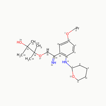 CC(C)Oc1ccc(NC2CCCCO2)c(C(=N)BOC(C)(C)C(C)(C)O)c1